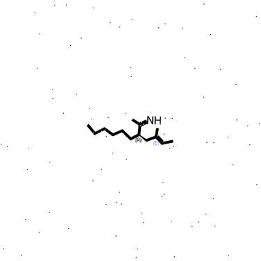 C/C=C(\C)C[C@@H](CCCCCC)C(C)=N